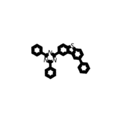 c1ccc(-c2ccc3sc4ccc(-c5nc(-c6ccccc6)nc(-c6ccccc6)n5)cc4c3c2)cc1